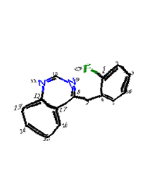 Fc1ccccc1Cc1ncnc2ccccc12